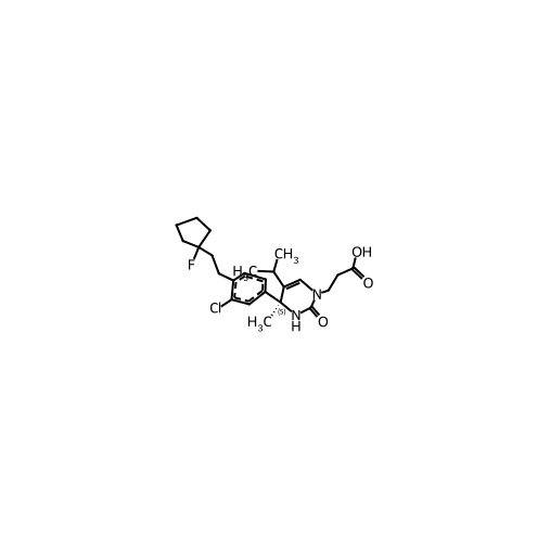 CC(C)C1=CN(CCC(=O)O)C(=O)N[C@@]1(C)c1ccc(CCC2(F)CCCC2)c(Cl)c1